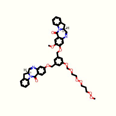 COOCCCOOCCOCOc1cc(COc2ccc3c(c2)N=C[C@@H]2Cc4ccccc4N2C3=O)cc(COc2cc3c(cc2OC)C(=O)N2c4ccccc4C[C@H]2C=N3)c1